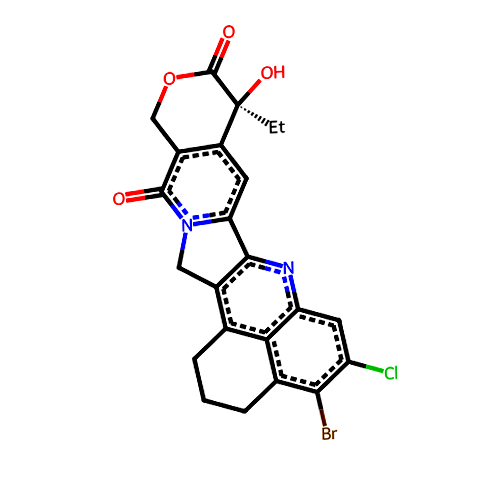 CC[C@@]1(O)C(=O)OCc2c1cc1n(c2=O)Cc2c-1nc1cc(Cl)c(Br)c3c1c2CCC3